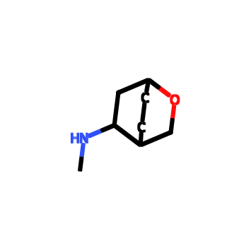 CNC1CC2CCC1CO2